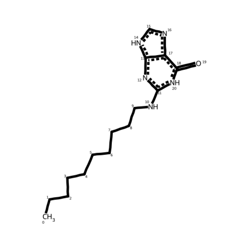 CCCCCCCCCCNc1nc2[nH]cnc2c(=O)[nH]1